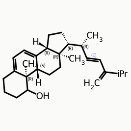 C=C(/C=C/[C@@H](C)[C@H]1CC[C@H]2C3=CC=C4CCCC(O)[C@]4(C)[C@H]3CC[C@]12C)C(C)C